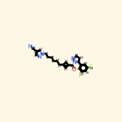 N#Cc1cnn(CCCCCCC23CC(C(=O)N4N=CCC4c4cc(F)cc(F)c4)(C2)C3)c1